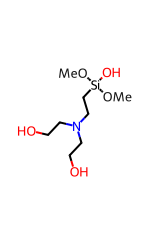 CO[Si](O)(CCN(CCO)CCO)OC